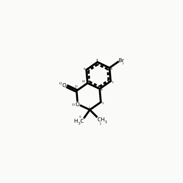 CC1(C)Cc2cc(Br)ccc2C(=O)O1